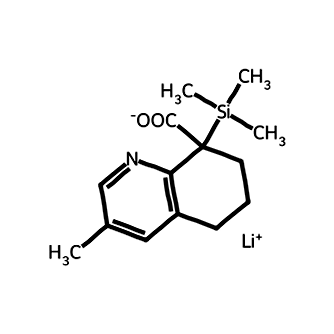 Cc1cnc2c(c1)CCCC2(C(=O)[O-])[Si](C)(C)C.[Li+]